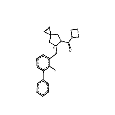 O=C(N1CCC1)N1CC2(CC2)C[C@@H]1Cc1cccc(-c2ccccc2)c1F